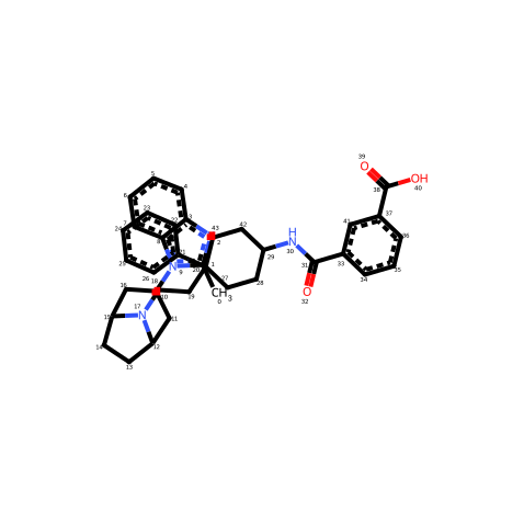 Cc1nc2ccccc2n1C1CC2CCC(C1)N2CCC1(c2ccccc2)CCC(NC(=O)c2cccc(C(=O)O)c2)CC1